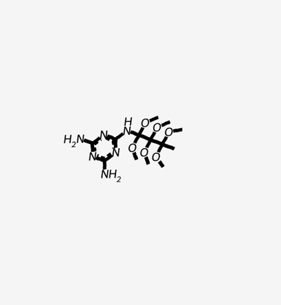 COC(C)(OC)C(OC)(OC)C(Nc1nc(N)nc(N)n1)(OC)OC